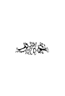 Nc1nc2c(ncn2[C@@H]2O[C@H](CO)[C@@H](F)[C@H]2OP(O)(=S)O[C@H](F)C(O)n2cnc3c(=O)[nH]cnc32)c(=O)[nH]1